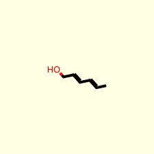 C/C=C/C=C/CO